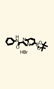 Br.CC1(C)OB(c2ccc3nc(C(=O)Nc4ccccc4)cn3c2)OC1(C)C